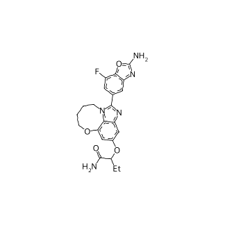 CCC(Oc1cc2c3c(c1)nc(-c1cc(F)c4oc(N)nc4c1)n3CCCCO2)C(N)=O